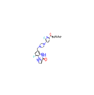 CNC(=O)c1ccc(N2CCN(Cc3cc(F)c4c(c3)[nH]c(=O)c3ccnn34)CC2)c(F)n1